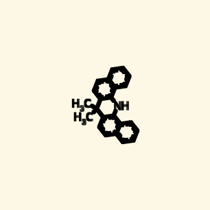 CC1(C)c2ccc3ccccc3c2Nc2c1ccc1ccccc21